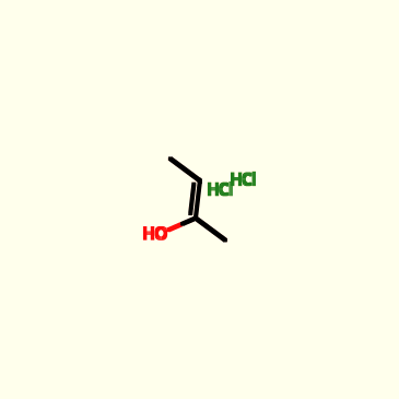 CC=C(C)O.Cl.Cl